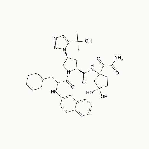 CC(C)(O)c1cnnn1[C@H]1C[C@@H](C(=O)NC2(C(=O)C(N)=O)CCS(O)(O)C2)N(C(=O)C(CC2CCCCC2)Nc2ccc3ccccc3c2)C1